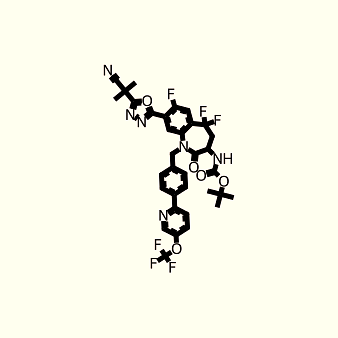 CC(C)(C)OC(=O)NC1CC(F)(F)c2cc(F)c(-c3nnc(C(C)(C)C#N)o3)cc2N(Cc2ccc(-c3ccc(OC(F)(F)F)cn3)cc2)C1=O